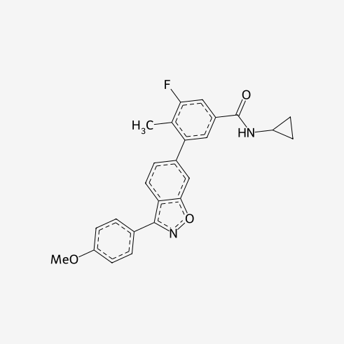 COc1ccc(-c2noc3cc(-c4cc(C(=O)NC5CC5)cc(F)c4C)ccc23)cc1